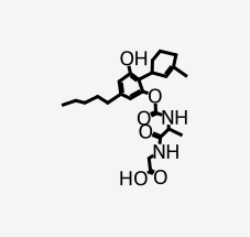 CCCCCc1cc(O)c(C2C=C(C)CCC2)c(OC(=O)NC(C)C(=O)NCC(=O)O)c1